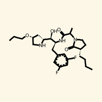 CCCC[C@H]1CCN(C(C)C(=O)N[C@@H](Cc2cc(F)cc(F)c2)[C@H](O)[C@H]2C[C@@H](OCCC)CN2)C1=O